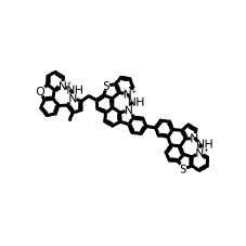 Cc1cc(Cc2cc3ccc4c5ccc(-c6ccc7c(c6)c6ccc8sc9ccc[n+]%10[nH]n%11ccc7c%11c6c8c9%10)cc5n5[nH][n+]6cccc7sc2c(c3c45)c76)n2[nH][n+]3cccc4oc5cccc(c5c43)c12